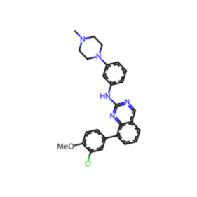 COc1ccc(-c2cccc3cnc(Nc4cccc(N5CCN(C)CC5)c4)nc23)cc1Cl